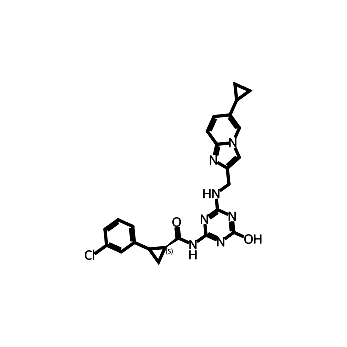 O=C(Nc1nc(O)nc(NCc2cn3cc(C4CC4)ccc3n2)n1)[C@H]1CC1c1cccc(Cl)c1